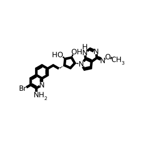 CO/N=c1\nc[nH]c2c1ccn2[C@@H]1C[C@H](CCc2ccc3cc(Br)c(N)nc3c2)[C@@H](O)[C@H]1O